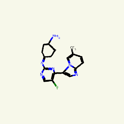 NC1CCC(=Nc2ncc(F)c(-c3cnc4ccc(C(F)(F)F)cn34)n2)CC1